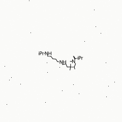 C=C(C(C)C)N(C)CC(C)C(C)(C)CCCNCCCCCNC(C)C